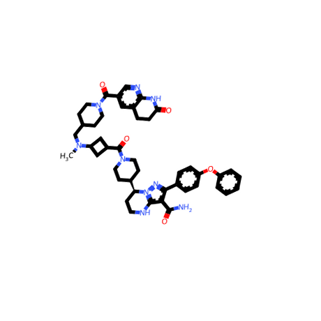 CN(CC1CCN(C(=O)c2cnc3c(c2)CCC(=O)N3)CC1)C1CC(C(=O)N2CCC([C@@H]3CCNc4c(C(N)=O)c(-c5ccc(Oc6ccccc6)cc5)nn43)CC2)C1